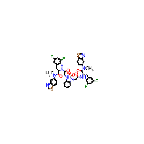 CN(C(=O)C(Cc1cc(F)cc(F)c1)NC(=O)CN1c2ccccc2N(CC(=O)N[C@@H](Cc2cc(F)cc(F)c2)C(=O)N(C)c2ccc3scnc3c2)S1(=O)=O)c1ccc2scnc2c1